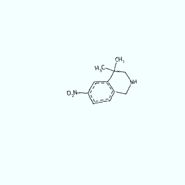 CC1(C)CNCc2ccc([N+](=O)[O-])cc21